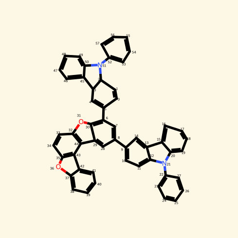 C1=CC2C(C=C1c1cc(-c3ccc4c(c3)c3ccccc3n4-c3ccccc3)cc3c1oc1ccc4oc5ccccc5c4c13)c1ccccc1N2c1ccccc1